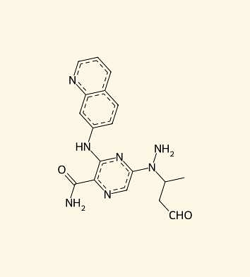 CC(CC=O)N(N)c1cnc(C(N)=O)c(Nc2ccc3cccnc3c2)n1